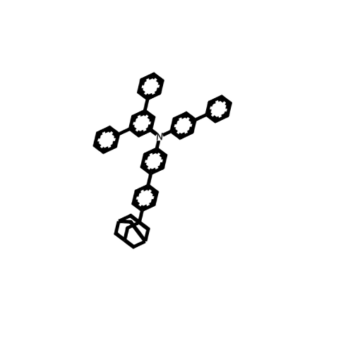 c1ccc(-c2ccc(N(c3ccc(-c4ccc(C56CC7CC(CC(C7)C5)C6)cc4)cc3)c3cc(-c4ccccc4)cc(-c4ccccc4)c3)cc2)cc1